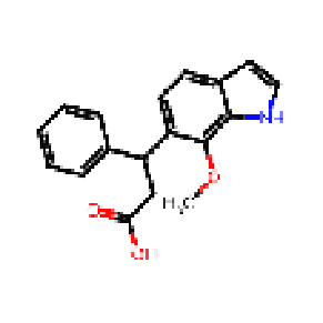 COc1c(C(CC(=O)O)c2ccccc2)ccc2cc[nH]c12